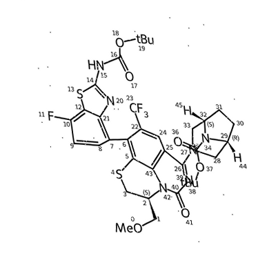 COC[C@H]1CSc2c(-c3ccc(F)c4sc(NC(=O)OC(C)(C)C)nc34)c(C(F)(F)F)cc3c(N4C[C@H]5CC[C@@H](C4)N5C(=O)OC(C)(C)C)nc(=O)n1c23